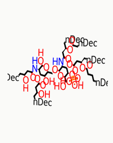 CCCCCCCCCCCCCC(=O)O[C@H](CCCCCCCCCCC)CC(=O)OC1[C@H](OP(=O)(O)O)C(CO)O[C@@H](OCC2OC(O)[C@@H](NC(=O)C[C@H](O)CCCCCCCCCCC)C(OC(=O)C[C@H](O)CCCCCCCCCCC)[C@@H]2O)[C@H]1NC(=O)C[C@@H](CCCCCCCCCCC)OC(=O)CCCCCCCCCCC